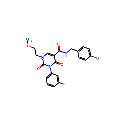 COCCn1cc(C(=O)NCc2ccc(Cl)cc2)c(=O)n(-c2cccc(Cl)c2)c1=O